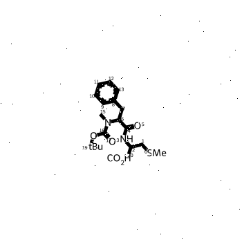 CSCC(NC(=O)C(Cc1ccccc1)N(C)C(=O)OC(C)(C)C)C(=O)O